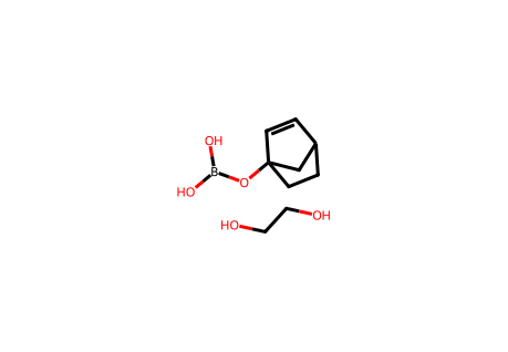 OB(O)OC12C=CC(CC1)C2.OCCO